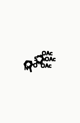 CC(=O)O[C@@H]1[C@@H](OC(C)=O)[C@@H](Oc2cccnc2C)SC[C@H]1OC(C)=O